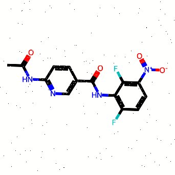 CC(=O)Nc1ccc(C(=O)Nc2c(F)ccc([N+](=O)[O-])c2F)cn1